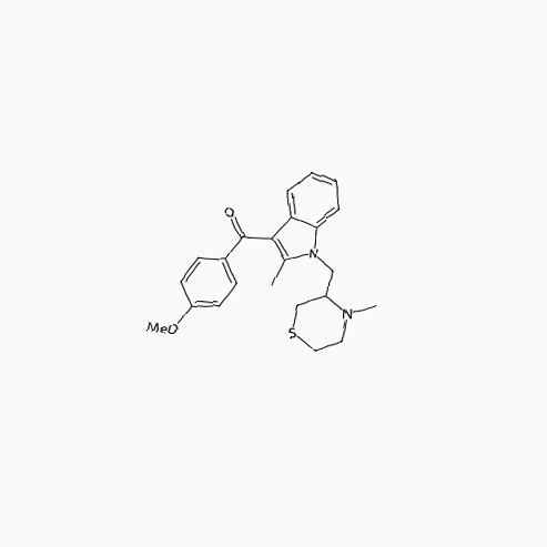 COc1ccc(C(=O)c2c(C)n(CC3CSCCN3C)c3ccccc23)cc1